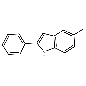 Cc1ccc2[nH]c(-c3c[c]ccc3)cc2c1